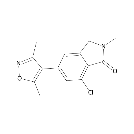 Cc1noc(C)c1-c1cc(Cl)c2c(c1)CN(C)C2=O